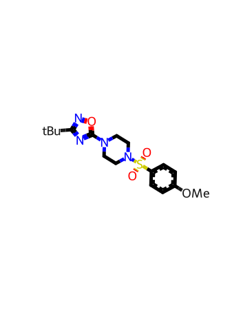 COc1ccc(S(=O)(=O)N2CCN(c3nc(C(C)(C)C)no3)CC2)cc1